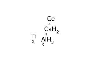 [AlH3].[CaH2].[Ce].[Ti]